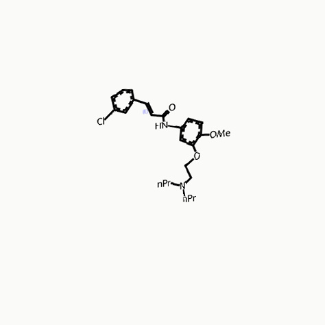 CCCN(CCC)CCOc1cc(NC(=O)/C=C/c2cccc(Cl)c2)ccc1OC